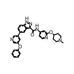 CN1CCC(Oc2cc(NC(=O)c3n[nH]c4ccc(-c5cncc(Oc6ccccc6)c5)cc34)ccn2)CC1